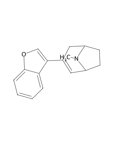 CN1C2C=C(c3coc4ccccc34)CC1CC2